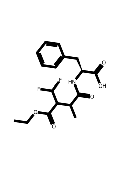 CCOC(=O)C(C(F)F)C(C)C(=O)N[C@@H](Cc1ccccc1)C(=O)O